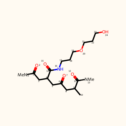 CNC(=O)CC(CC(=O)CC(C)C(=O)NC)C(=O)NCCCOCCCO